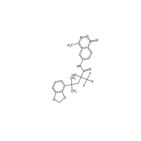 Cc1noc(=O)c2ccc(NC(=O)C(O)(CC(C)(C)c3cccc4c3OCO4)C(F)(F)F)cc12